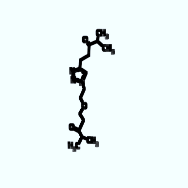 CC(C)C(=O)CCOCCn1cc(CCC(=O)C(C)C)nn1